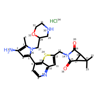 Cc1c(N)cc(-c2ccnc3cc(CN4C(=O)C5C(C4=O)C5(C)C)sc23)n1CC1CNCCO1.Cl